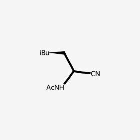 CC[C@H](C)CC(C#N)NC(C)=O